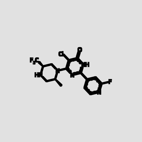 C[C@H]1CN[C@@H](C(F)(F)F)CN1c1nc(-c2ccnc(F)c2)[nH]c(=O)c1Cl